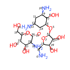 NC[C@H]1O[C@@H](O[C@@H]2C(O)[C@H](N)CC(N)[C@H]2O[C@H]2OC(CO)[C@@H](O)[C@H](O)C2N)C(O)[C@H]1O